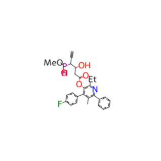 C#CC(C(O)CC(=O)Oc1c(CC)nc(-c2ccccc2)c(C)c1-c1ccc(F)cc1)[PH](=O)OC